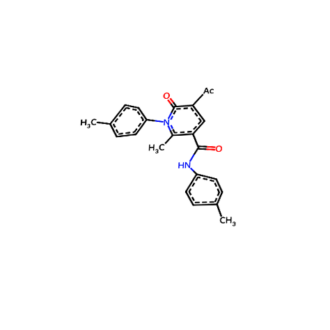 CC(=O)c1cc(C(=O)Nc2ccc(C)cc2)c(C)n(-c2ccc(C)cc2)c1=O